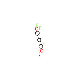 CCCOc1ccc(-c2ccc(-c3ccc(OC(F)F)cc3)cc2)c(F)c1